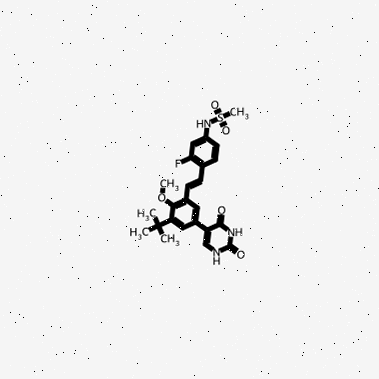 COc1c(C=Cc2ccc(NS(C)(=O)=O)cc2F)cc(-c2c[nH]c(=O)[nH]c2=O)cc1C(C)(C)C